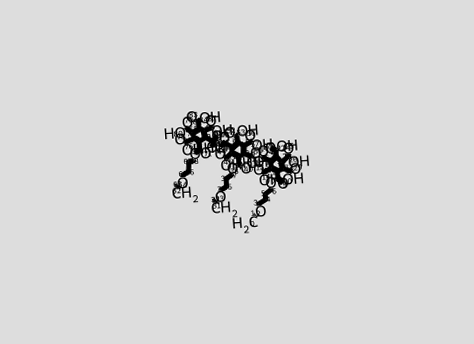 C=COCCCCOC(=O)c1c(C(=O)O)c(C(=O)O)c(C(=O)O)c(C(=O)O)c1C(=O)O.C=COCCCCOC(=O)c1c(C(=O)O)c(C(=O)O)c(C(=O)O)c(C(=O)O)c1C(=O)O.C=COCCCCOC(=O)c1c(C(=O)O)c(C(=O)O)c(C(=O)O)c(C(=O)O)c1C(=O)O